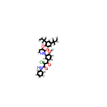 CCC(Oc1ccc(C(C)(C)CC)cc1C(C)(C)CC)C(=O)Nc1cc(C(=O)C(Cl)C(=O)Nc2ccccc2)ccc1OC